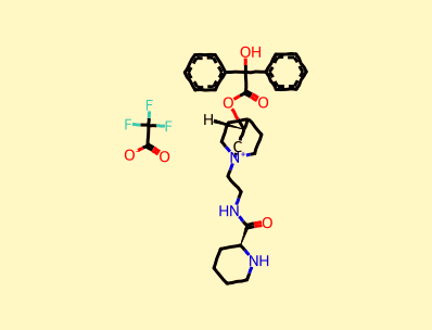 O=C(NCC[N+]12CCC(CC1)[C@@H](OC(=O)C(O)(c1ccccc1)c1ccccc1)C2)[C@@H]1CCCCN1.O=C([O-])C(F)(F)F